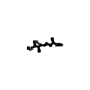 CNC(=O)ON=CSC(=O)N(C)C